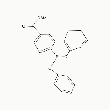 COC(=O)c1ccc(B(Oc2ccccc2)Oc2ccccc2)cc1